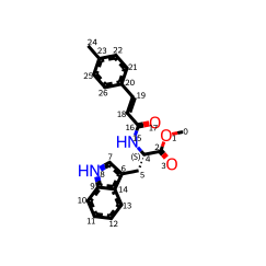 COC(=O)[C@H](Cc1c[nH]c2ccccc12)NC(=O)C=Cc1ccc(C)cc1